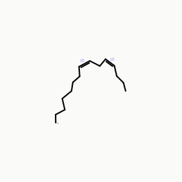 [CH2]CCCCCC/C=C\C/C=C\CCC